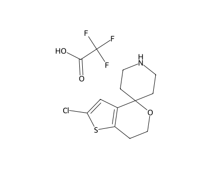 Clc1cc2c(s1)CCOC21CCNCC1.O=C(O)C(F)(F)F